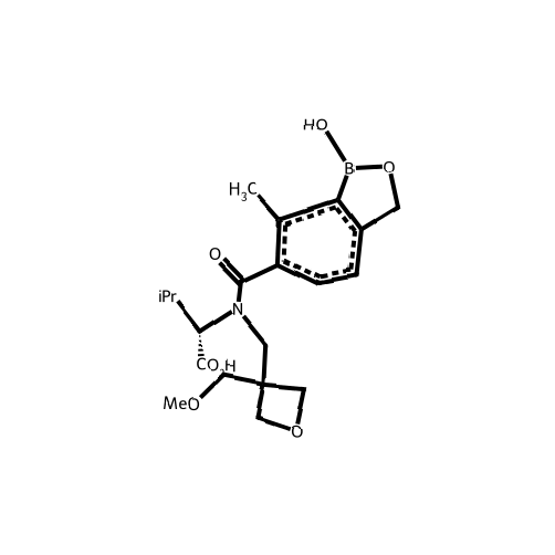 COCC1(CN(C(=O)c2ccc3c(c2C)B(O)OC3)[C@H](C(=O)O)C(C)C)COC1